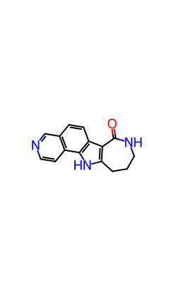 O=C1NCCCc2[nH]c3c(ccc4cnccc43)c21